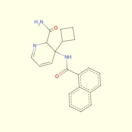 NC(=O)C1N=CC=CC1(NC(=O)c1cccc2ccccc12)C1CCC1